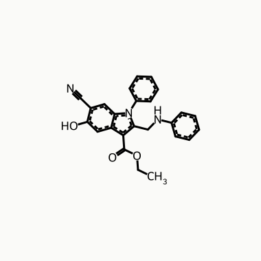 CCOC(=O)c1c(CNc2ccccc2)n(-c2ccccc2)c2cc(C#N)c(O)cc12